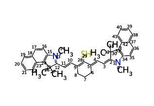 CN1/C(=C/C=C2\CCCC(/C=C/C3=[N+](C)c4ccc5ccccc5c4C3(C)C)=C2S)C(C)(C)c2c1ccc1ccccc21